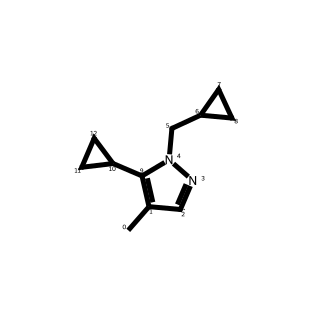 Cc1[c]nn(CC2CC2)c1C1CC1